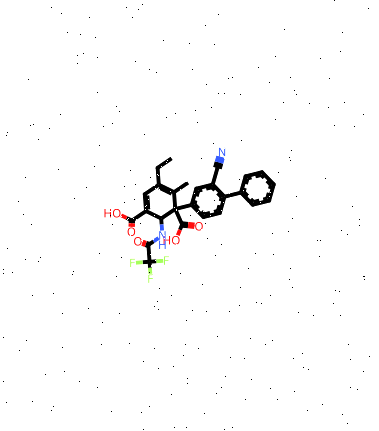 CCC1=C(C)C(C(=O)O)(c2ccc(-c3ccccc3)c(C#N)c2)C(NC(=O)C(F)(F)F)C(C(=O)O)=C1